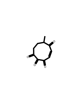 CC1CCC(=O)C(=O)C(=O)C=CC1=O